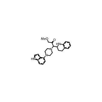 COCC(=O)C(C1CCc2ccccc2N1)N1CCN(c2cccc3[nH]ccc23)CC1